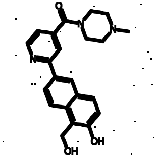 CN1CCN(C(=O)c2ccnc(-c3ccc4c(CO)c(O)ccc4c3)c2)CC1